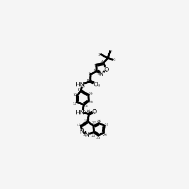 CC(C)(C)c1cc(CC(=O)Nc2ccc(NC(=O)c3cnnc4ccccc34)cc2)no1